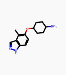 Cc1c(OC2CCC(N)CC2)ccc2[nH]ncc12